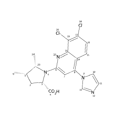 C[C@H]1C[C@@H](C(=O)O)N(c2cc(-n3ccnc3)c3ccc(Cl)c(Cl)c3n2)[C@H]1C